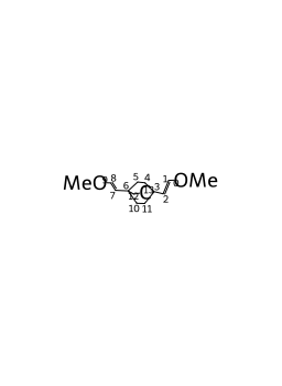 COC=CC12CCC(C=COC)(CC1)CC2